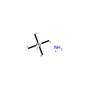 N.[CH3][Pb]([CH3])([CH3])[CH3]